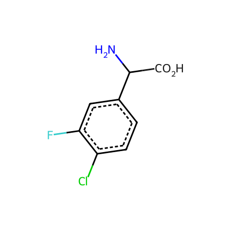 NC(C(=O)O)c1ccc(Cl)c(F)c1